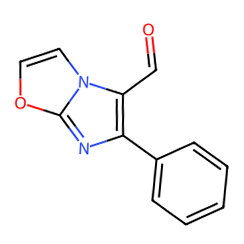 O=Cc1c(-c2ccccc2)nc2occn12